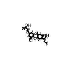 CCCc1c[nH]c2ccc(Oc3c(Cl)cc(OCC(=O)O)cc3Cl)cc12